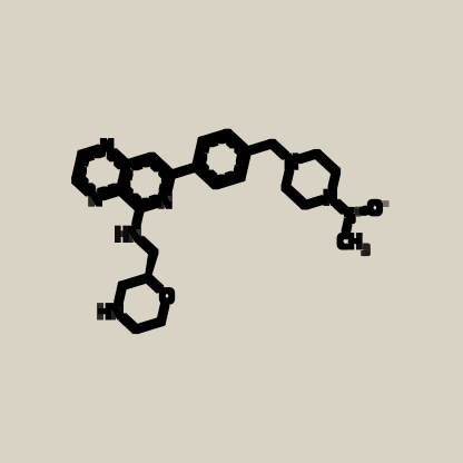 C[S+]([O-])N1CCN(Cc2ccc(-c3cc4nccnc4c(NC[C@@H]4CNCCO4)n3)cc2)CC1